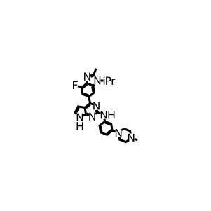 Cc1nc2c(F)cc(-c3nc(Nc4cccc(N5CCN(C)CC5)c4)nc4[nH]ccc34)cc2n1C(C)C